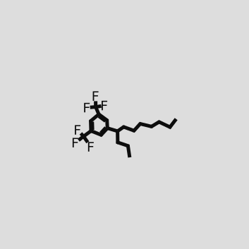 CCCCCCCC(CCC)c1cc(C(F)(F)F)cc(C(F)(F)F)c1